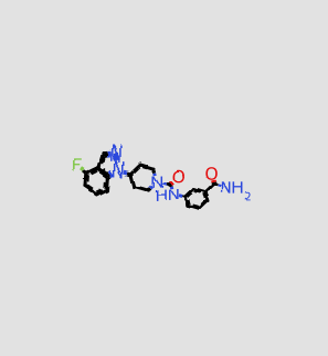 NC(=O)c1cccc(NC(=O)N2CCC(n3ncc4c(F)cccc43)CC2)c1